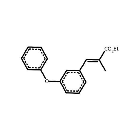 CCOC(=O)C(C)=Cc1cccc(Oc2ccccc2)c1